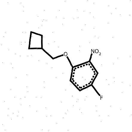 O=[N+]([O-])c1cc(F)ccc1OCC1CCC1